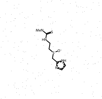 CNC(=S)NCC[S+]([O-])Cc1ncc[nH]1